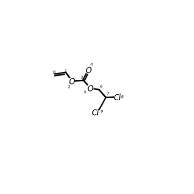 C=COC(=O)OCC(Cl)Cl